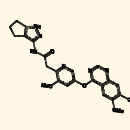 COc1cc2ncnc(Oc3cnc(CC(=O)Nc4n[nH]c5c4CCC5)c(OC)c3)c2cc1OC